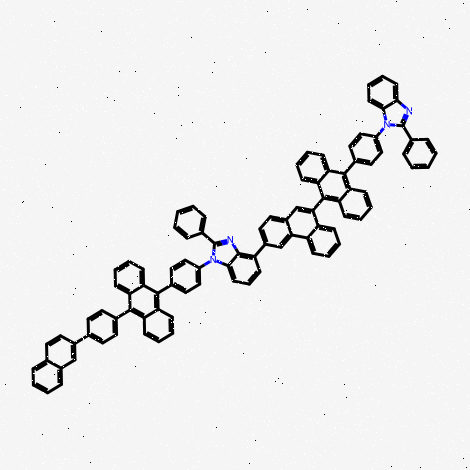 c1ccc(-c2nc3ccccc3n2-c2ccc(-c3c4ccccc4c(-c4cc5ccc(-c6cccc7c6nc(-c6ccccc6)n7-c6ccc(-c7c8ccccc8c(-c8ccc(-c9ccc%10ccccc%10c9)cc8)c8ccccc78)cc6)cc5c5ccccc45)c4ccccc34)cc2)cc1